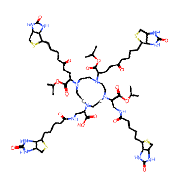 CC(C)OC(=O)C(CCC(=O)CCCCC1SCC2NC(=O)NC21)N1CCN(C(CNC(=O)CCCCC2SCC3NC(=O)NC32)C(=O)O)CCN(C(CNC(=O)CCCCC2SCC3NC(=O)NC32)C(=O)OC(C)C)CCN(C(CCC(=O)CCCCC2SCC3NC(=O)NC32)C(=O)OC(C)C)CC1